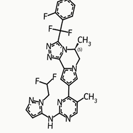 Cc1cnc(Nc2ccnn2CC(F)F)nc1-c1cc2n(c1)C[C@H](C)n1c-2nnc1C(F)(F)c1ccccc1F